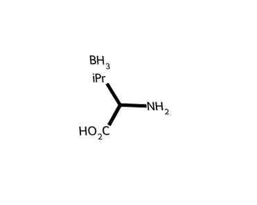 B.CC(C)C(N)C(=O)O